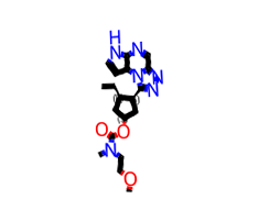 CC[C@@H]1C[C@H](OC(=O)N(C)CCOC)C[C@@H]1c1nnc2n1C1C=CNC1N=C2